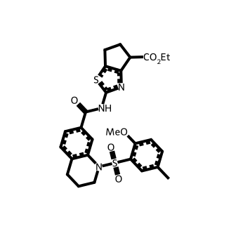 CCOC(=O)C1CCc2sc(NC(=O)c3ccc4c(c3)N(S(=O)(=O)c3cc(C)ccc3OC)CCC4)nc21